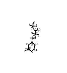 CC(C)(C)OC(=O)C(C)(C)OC[C@H]1CCC[C@@H](F)C1